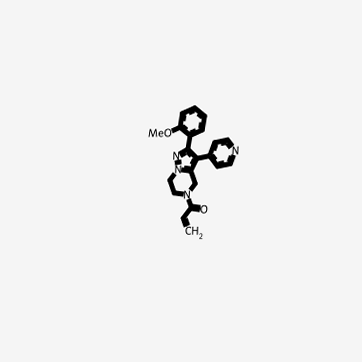 C=CC(=O)N1CCn2nc(-c3ccccc3OC)c(-c3ccncc3)c2C1